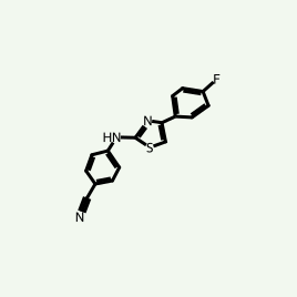 N#Cc1ccc(Nc2nc(-c3ccc(F)cc3)cs2)cc1